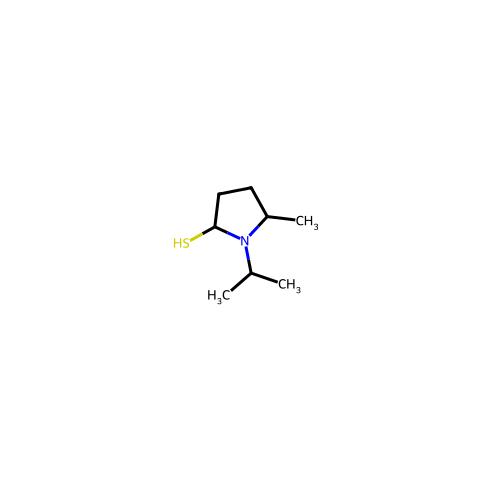 CC(C)N1C(C)CCC1S